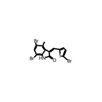 Cc1c(Br)cc(Br)c2c1C(=Cc1ccc(Br)s1)C(=O)N2